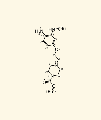 CCCCNc1cc(OCCN2CCN(C(=O)OC(C)(C)C)CC2)ccc1N